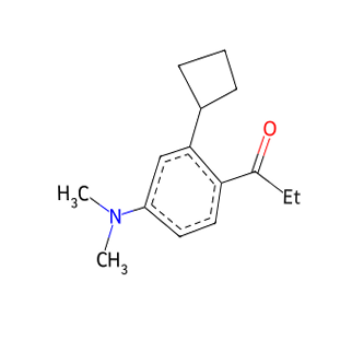 CCC(=O)c1ccc(N(C)C)cc1C1CCC1